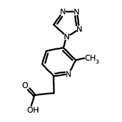 Cc1nc(CC(=O)O)ccc1-n1cnnn1